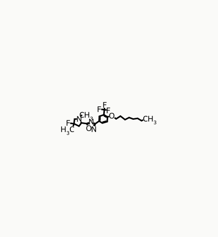 CCCCCCCCOc1ccc(-c2noc(C3CC(C)(F)CN3C)n2)cc1C(F)(F)F